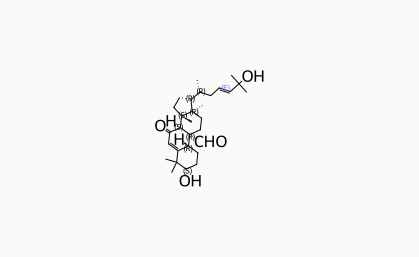 C[C@H](C/C=C/C(C)(C)O)[C@H]1CC[C@@]2(C)[C@@H]3C(=O)C=C4[C@@H](CC[C@H](O)C4(C)C)[C@]3(C=O)CC[C@]12C